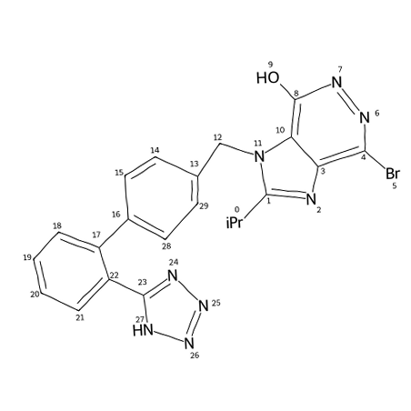 CC(C)c1nc2c(Br)nnc(O)c2n1Cc1ccc(-c2ccccc2-c2nnn[nH]2)cc1